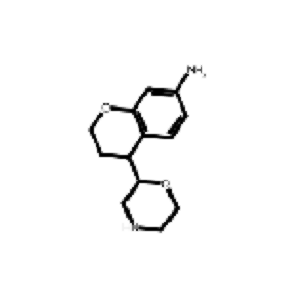 Nc1ccc2c(c1)OCCC2C1CNCCO1